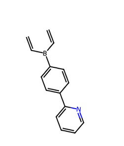 C=CB(C=C)c1ccc(-c2ccccn2)cc1